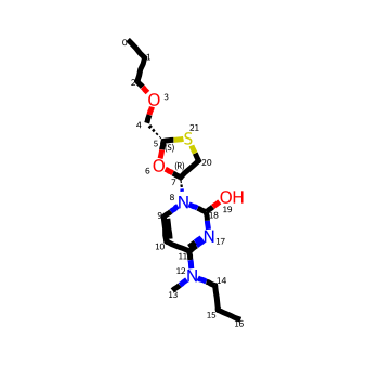 CCCOC[C@H]1O[C@@H](N2C=CC(N(C)CCC)=NC2O)CS1